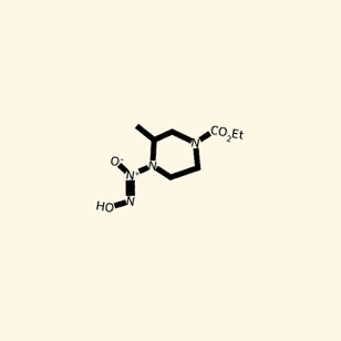 CCOC(=O)N1CCN([N+]([O-])=NO)C(C)C1